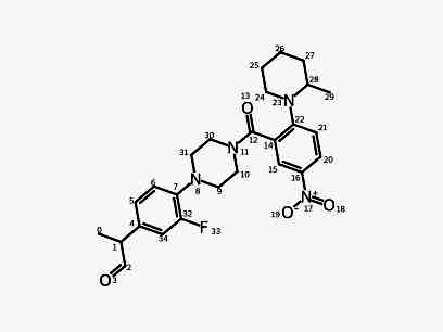 CC(C=O)c1ccc(N2CCN(C(=O)c3cc([N+](=O)[O-])ccc3N3CCCCC3C)CC2)c(F)c1